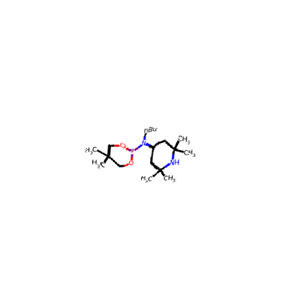 CCCCN(C1CC(C)(C)NC(C)(C)C1)P1OCC(C)(C)CO1